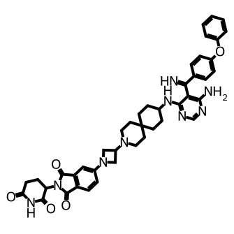 N=C(c1ccc(Oc2ccccc2)cc1)c1c(N)ncnc1NC1CCC2(CC1)CCN(C1CN(c3ccc4c(c3)C(=O)N(C3CCC(=O)NC3=O)C4=O)C1)CC2